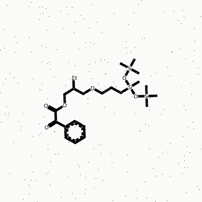 CCC(COCCC[Si](C)(O[Si](C)(C)C)O[Si](C)(C)C)COC(=O)C(=O)c1ccccc1